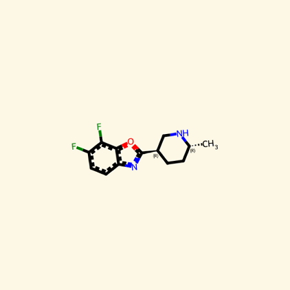 C[C@@H]1CC[C@@H](c2nc3ccc(F)c(F)c3o2)CN1